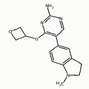 CN1CCc2cc(-c3cnc(N)nc3OC3COC3)ccc21